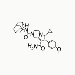 COc1ccc(-c2c(C(N)=O)c3n(c2C2CC2)CCN(C(=O)NC24CC5CC(CC(C5)C2)C4)C3)cc1